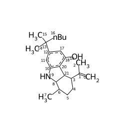 C=C(C)C1CCC(C)C2Nc3cc(C(C)(C)CCCC)cc(O)c3C12